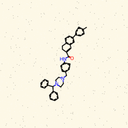 Cc1ccc(-c2ccc3c(c2)C=C(C(=O)Nc2ccc(CN4CCN(C(c5ccccc5)c5ccccc5)CC4)cc2)CC3)cc1